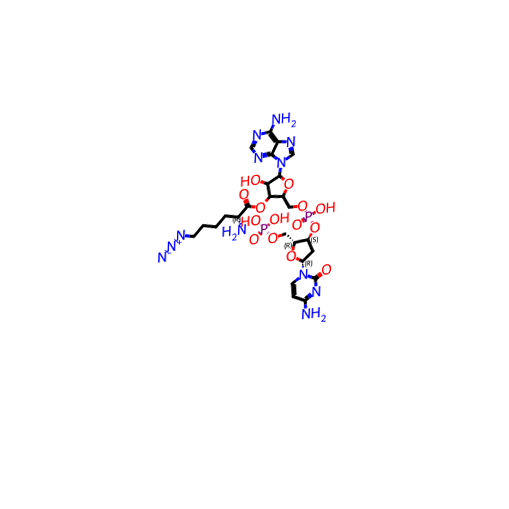 [N-]=[N+]=NCCCC[C@@H](N)C(=O)OC1C(COP(=O)(O)O[C@H]2C[C@H](n3ccc(N)nc3=O)O[C@@H]2COP(=O)(O)O)OC(n2cnc3c(N)ncnc32)C1O